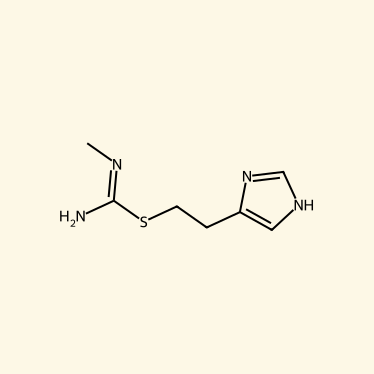 CN=C(N)SCCc1c[nH]cn1